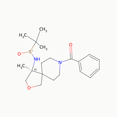 CC(C)(C)[S+]([O-])N[C@]1(C)COCC12CCN(C(=O)c1ccccc1)CC2